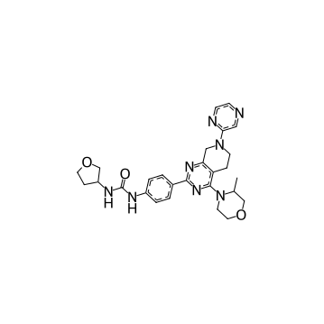 CC1COCCN1c1nc(-c2ccc(NC(=O)NC3CCOC3)cc2)nc2c1CCN(c1cnccn1)C2